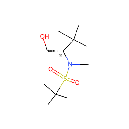 CN([C@H](CO)C(C)(C)C)S(=O)(=O)C(C)(C)C